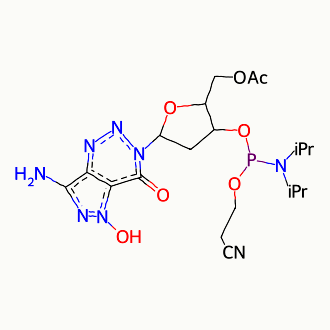 CC(=O)OCC1OC(n2nnc3c(N)nn(O)c3c2=O)CC1OP(OCCC#N)N(C(C)C)C(C)C